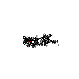 CC(=O)O[C@@]12CO[C@@H]1C[C@H](O)[C@@]1(C)C(=O)[C@H](OC(=O)NCCCCCCNC(=O)C(CO)NC(=O)C(CCCNC(=N)N)NC(=O)C3CCCN3C(=O)C(NC(=O)C(N)CC(C)C)C(C)O)C3=C(C)[C@@H](OC(=O)[C@H](O)[C@@H](NC(=O)c4ccccc4)c4ccccc4)C[C@@](O)([C@@H](OC(=O)c4ccccc4)[C@H]21)C3(C)C